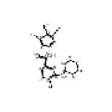 O=C(Nc1cc(F)c(F)c(F)c1)c1ccc(I)c(SC2CCCCC2)c1